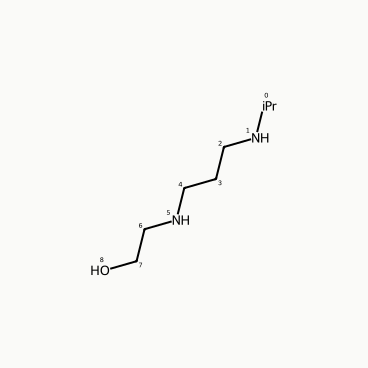 CC(C)NCCCNCCO